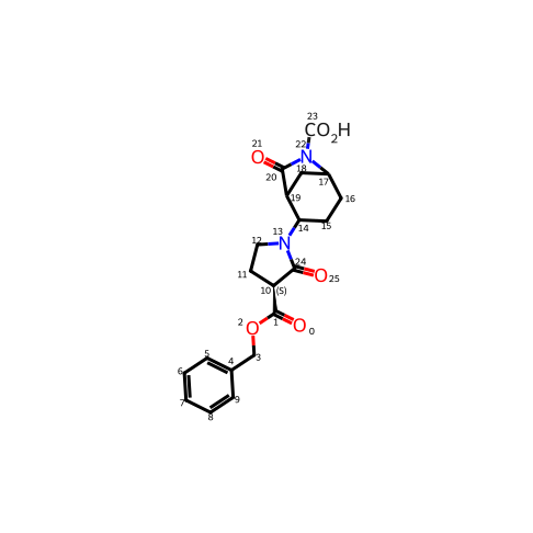 O=C(OCc1ccccc1)[C@H]1CCN(C2CCC3CC2C(=O)N3C(=O)O)C1=O